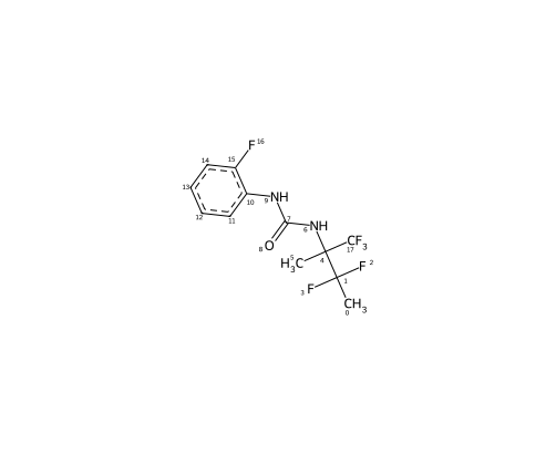 CC(F)(F)C(C)(NC(=O)Nc1ccccc1F)C(F)(F)F